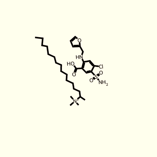 CCCCCCCCCCCCCCC(C)[N+](C)(C)C.NS(=O)(=O)c1cc(C(=O)O)c(NCc2ccco2)cc1Cl